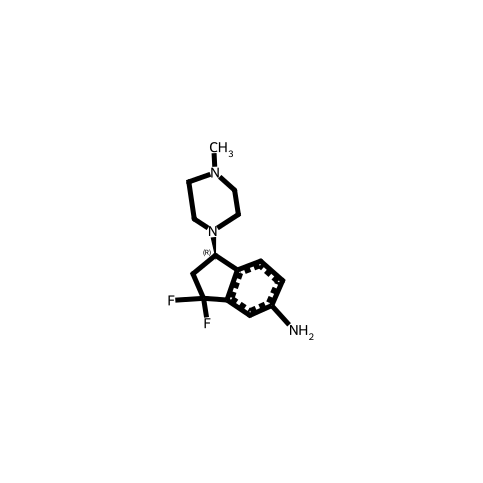 CN1CCN([C@@H]2CC(F)(F)c3cc(N)ccc32)CC1